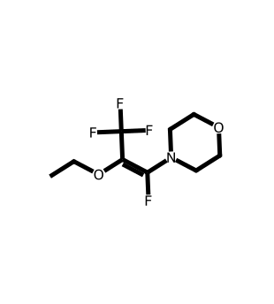 CCO/C(=C(\F)N1CCOCC1)C(F)(F)F